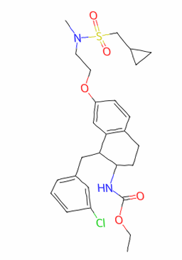 CCOC(=O)NC1CCc2ccc(OCCN(C)S(=O)(=O)CC3CC3)cc2C1Cc1cccc(Cl)c1